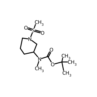 CN(C(=O)OC(C)(C)C)C1CCCN(S(C)(=O)=O)C1